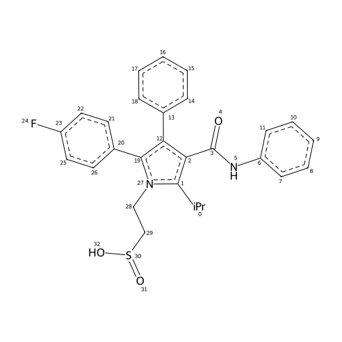 CC(C)c1c(C(=O)Nc2ccccc2)c(-c2ccccc2)c(-c2ccc(F)cc2)n1CCS(=O)O